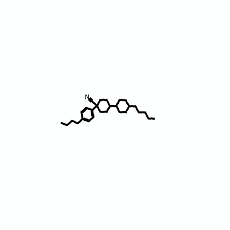 CCCCCC1CCC(C2CCC(C#N)(c3ccc(CCCC)cc3)CC2)CC1